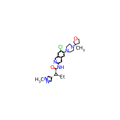 CC[C@@H]1[C@H](C(=O)Nc2cc3cc(N4CCN([C@]5(C)CCOC5)CC4)c(Cl)cc3cn2)[C@H]1c1cnn(C)c1